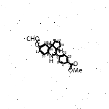 COC(=O)c1ccc([C@H]2Nc3ccc(OC=O)cc3[C@@H]3C=CC[C@H]23)cc1